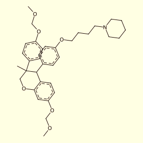 COCOc1ccc(C2(C)COc3cc(OCOC)ccc3C2c2ccc(OCCCCN3CCCCC3)cc2)cc1